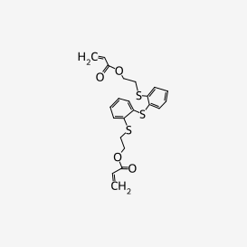 C=CC(=O)OCCSc1ccccc1Sc1ccccc1SCCOC(=O)C=C